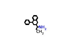 C=CC(N)C1Cc2ccccc2C(c2ccccc2)C1